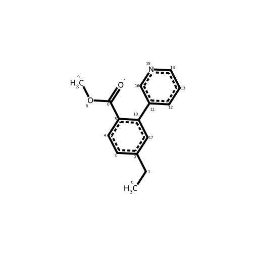 CCc1ccc(C(=O)OC)c(-c2cccnc2)c1